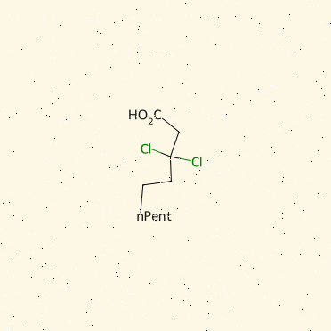 CCCCCCCC(Cl)(Cl)CC(=O)O